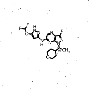 C[C@@H](C1CCOCC1)n1nc(F)c2ncc(Nc3cc(OC(F)F)[nH]n3)nc21